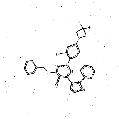 O=c1c(OCc2ccccc2)cn(-c2ccc(N3CC(F)(F)C3)cc2F)nc1-c1ccnn1-c1ccccc1